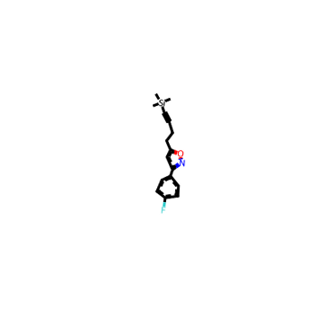 C[Si](C)(C)C#CCCc1cc(-c2ccc(F)cc2)no1